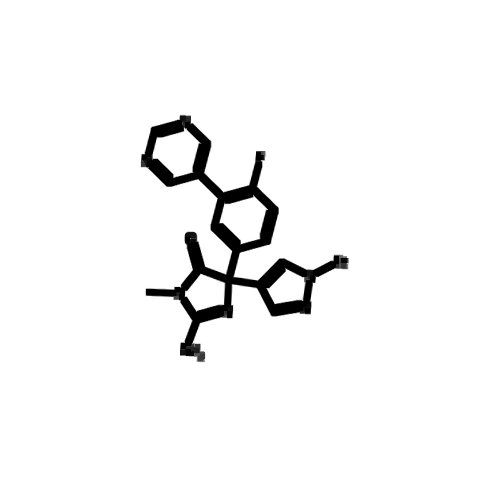 CCn1cc(C2(c3ccc(F)c(-c4cncnc4)c3)N=C(N)N(C)C2=O)cn1